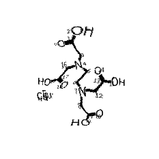 O=C(O)CN(CCN(CC(=O)O)CC(=O)O)CC(=O)O.[Eu].[Gd]